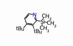 CC(C)(C)c1ccnc([Si](C)(C)C)c1C(C)(C)C